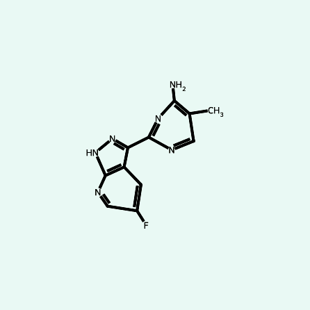 Cc1cnc(-c2n[nH]c3ncc(F)cc23)nc1N